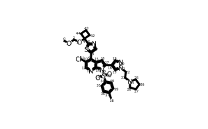 COCOC1(c2ncc(-c3c(Cl)cnc4c3cc(-c3cnn(CCN5CCCC5)c3)n4S(=O)(=O)c3ccc(C)cc3)s2)CCC1